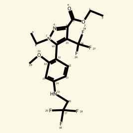 CCOC(=O)c1nn(CC)c(-c2ccc(NCC(F)(F)F)cc2OC)c1C(F)(F)F